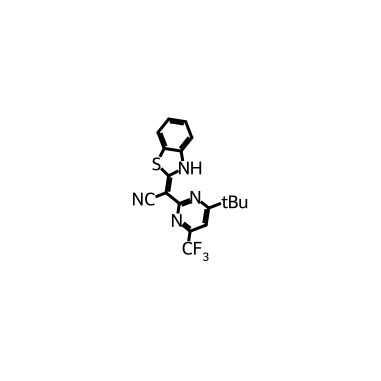 CC(C)(C)c1cc(C(F)(F)F)nc(C(C#N)=C2Nc3ccccc3S2)n1